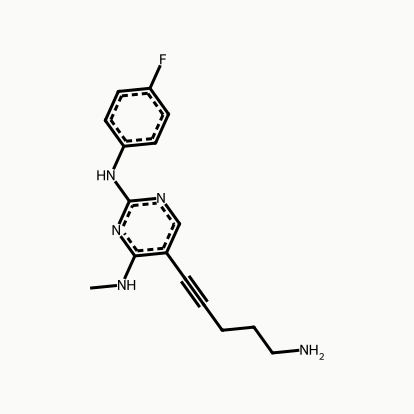 CNc1nc(Nc2ccc(F)cc2)ncc1C#CCCCN